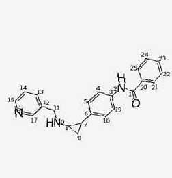 O=C(Nc1ccc(C2CC2NCc2cccnc2)cc1)c1ccccc1